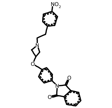 O=C1c2ccccc2C(=O)N1c1ccc(OC2CN(CCc3ccc([N+](=O)[O-])cc3)C2)cc1